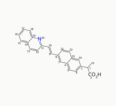 CC(C(=O)O)c1ccc2cc(C=Cc3ccc4ccccc4n3)ccc2c1